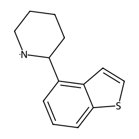 c1cc(C2CCCC[N]2)c2ccsc2c1